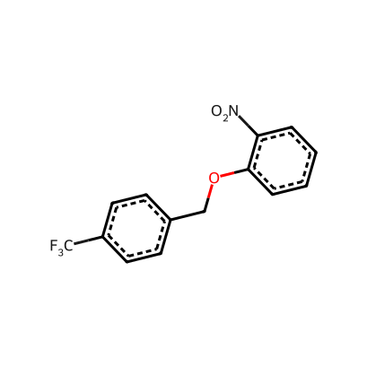 O=[N+]([O-])c1ccccc1OCc1ccc(C(F)(F)F)cc1